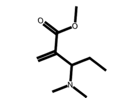 C=C(C(=O)OC)C(CC)N(C)C